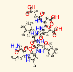 CCCCC(NC(=O)[C@H](CC(C)C)NC(=O)[C@@H](NC(=O)[C@H](Cc1ccccc1C)NC(=O)[C@H](CCC(=O)O)NC(=O)[C@H](CC(=O)O)NC(=O)CCC(=O)O)C(C)OCc1ccccc1)C(=O)C(N)=O